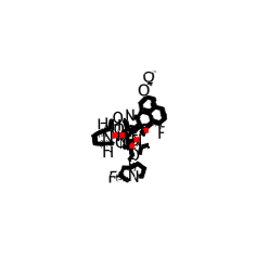 COCOc1cc(-c2nc3c4c(nc(OC[C@@]56CCCN5C[C@@H](F)C6)nc4c2F)N2C[C@H]4CC[C@@H]([C@@H]2CO3)N4C(=O)OC(C)(C)C)c2c(C#C[Si](C(C)C)(C(C)C)C(C)C)c(F)ccc2c1